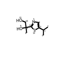 CC(C)c1cnc(C(C)(O)CO)s1